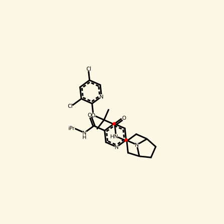 CC(C)NC(=O)c1ccc(N2C3CCC2CC(NC(=O)C(C)(C)Oc2ncc(Cl)cc2Cl)C3)nc1